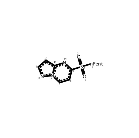 CCCCCS(=O)(=O)c1ccn2nccc2n1